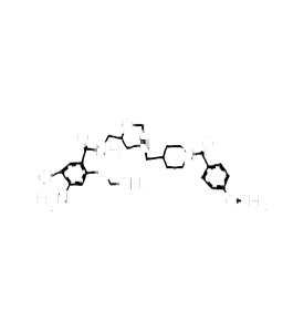 CCOc1cc(N)c(Cl)cc1C(=O)NCC1CN(CC2CCN(C(=O)c3ccc(OC)cc3)CC2)CCO1